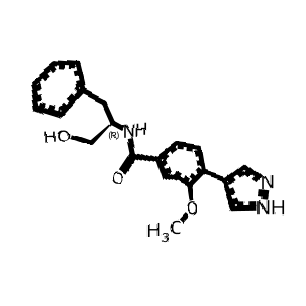 COc1cc(C(=O)N[C@@H](CO)Cc2ccccc2)ccc1-c1cn[nH]c1